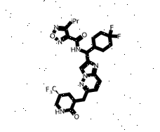 CC(C)c1nonc1C(=O)NC(c1cn2nc(CC3C[C@@H](C(F)(F)F)CNC3=O)ccc2n1)C1CCC(F)(F)CC1